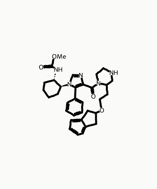 COC(=O)N[C@H]1CCCC[C@@H]1n1cnc(C(=O)N2CCNCC2CCOC2Cc3ccccc3C2)c1-c1ccccc1